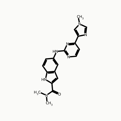 CN(C)C(=O)c1cc2cc(Nc3nccc(-c4cn(C)cn4)n3)ccc2[nH]1